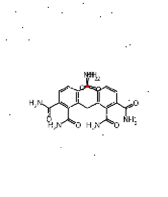 NC(=O)c1ccc(C(N)=O)c(C(N)=O)c1Cc1c(C(N)=O)ccc(C(N)=O)c1C(N)=O